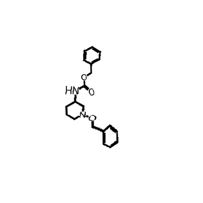 O=C(NC1CCCN(OCc2ccccc2)C1)OCc1ccccc1